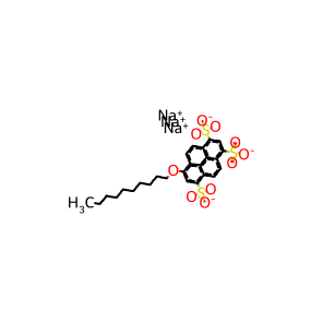 CCCCCCCCCCOc1cc(S(=O)(=O)[O-])c2ccc3c(S(=O)(=O)[O-])cc(S(=O)(=O)[O-])c4ccc1c2c43.[Na+].[Na+].[Na+]